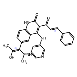 CC(=N)/C(=C(/C)O)c1ccc2[nH]c(=O)c(C(=O)/C=C/c3ccccc3)c(Nc3cccnc3)c2c1